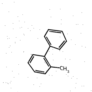 Cc1ccc[c]c1-c1[c]cccc1